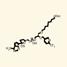 CCCCCCCCCCCCCCCCCCOC[C@H](COP(=O)(O)OC[C@@H]1CC[C@](C#N)(c2ccc3c(N)ncnn23)O1)OCc1ccc(C(F)(F)F)nc1